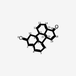 O=C1C=c2cccc3c2=C(C1)C1C=CC=C2C(=O)C=CC3=C21